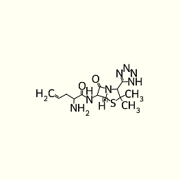 C=CCC(N)C(=O)NC1C(=O)N2C(c3nnn[nH]3)C(C)(C)S[C@H]12